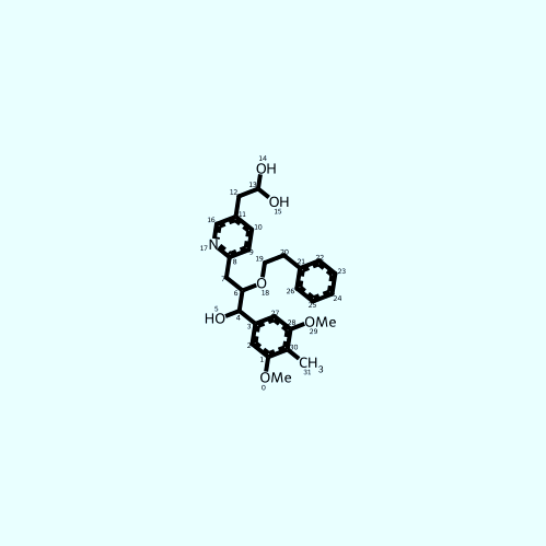 COc1cc(C(O)C(Cc2ccc(CC(O)O)cn2)OCCc2ccccc2)cc(OC)c1C